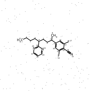 CCCCC(CCC(C)c1cc(F)c(C#N)c(F)c1)c1ncccn1